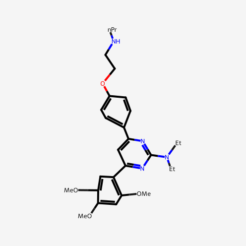 CCCNCCOc1ccc(-c2cc(-c3cc(OC)c(OC)cc3OC)nc(N(CC)CC)n2)cc1